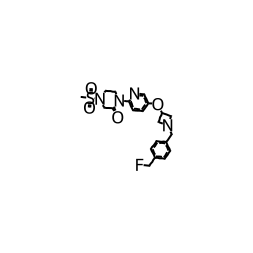 CS(=O)(=O)N1CCN(c2ccc(OC3CN(Cc4ccc(CF)cc4)C3)cn2)C(=O)C1